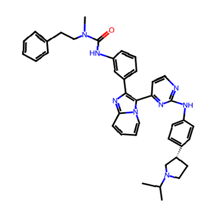 CC(C)N1CC[C@@H](c2ccc(Nc3nccc(-c4c(-c5cccc(NC(=O)N(C)CCc6ccccc6)c5)nc5ccccn45)n3)cc2)C1